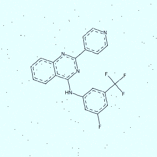 Fc1cc(Nc2nc(-c3ccncc3)nc3ccccc23)cc(C(F)(F)F)c1